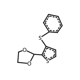 c1ccc(Sc2ccsc2C2OCCO2)cc1